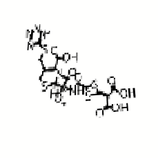 CO[C@@]1(NC(=O)C2SC(=C(C(=O)O)C(=O)O)S2)C(=O)N2C(C(=O)O)=C(CSc3nnnn3C)CS[C@@H]21